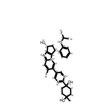 CC1(O)CCC(O)(c2ncc(-c3cn4c5c(nc4cc3F)[C@H](O)C[C@@H]5c3ccccc3OC(F)F)cn2)CC1